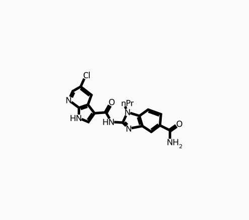 CCCn1c(NC(=O)c2c[nH]c3ncc(Cl)cc23)nc2cc(C(N)=O)ccc21